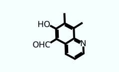 Cc1c(O)c(C=O)c2cccnc2c1C